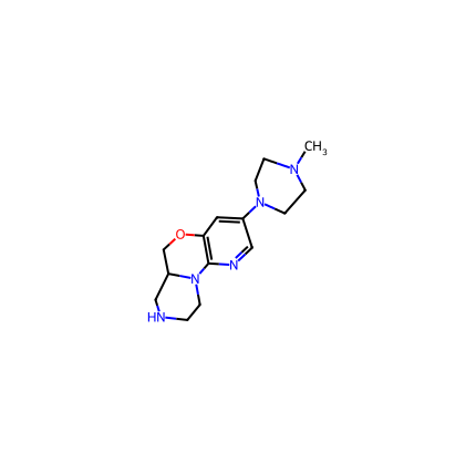 CN1CCN(c2cnc3c(c2)OCC2CNCCN32)CC1